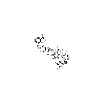 Cc1cnc(Nc2cc(C)n(C)n2)nc1-c1c[nH]c2c(NC(=O)CN3CCC(Oc4cc(N(C)C)ncn4)C3)cccc12